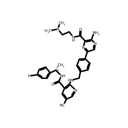 C[C@H](NC(=O)c1cc(C#N)cnc1NCc1ccc(-c2cnc(N)c(C(=O)NCCN(C)C)n2)cc1)c1ccc(F)cc1